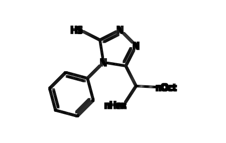 CCCCCCCCC(CCCCCC)c1nnc(S)n1-c1ccccc1